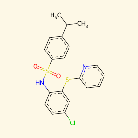 CC(C)c1ccc(S(=O)(=O)Nc2ccc(Cl)cc2Sc2ccccn2)cc1